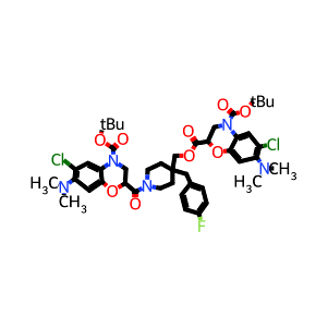 CN(C)c1cc2c(cc1Cl)N(C(=O)OC(C)(C)C)CC(C(=O)OCC1(Cc3ccc(F)cc3)CCN(C(=O)C3CN(C(=O)OC(C)(C)C)c4cc(Cl)c(N(C)C)cc4O3)CC1)O2